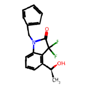 C[C@H](O)c1cccc2c1C(F)(F)C(=O)N2Cc1ccccc1